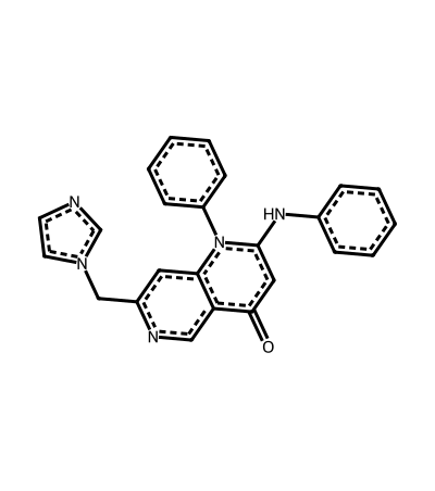 O=c1cc(Nc2ccccc2)n(-c2ccccc2)c2cc(Cn3ccnc3)ncc12